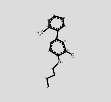 CCCCOc1ccc(-c2ccccc2N)cc1Cl